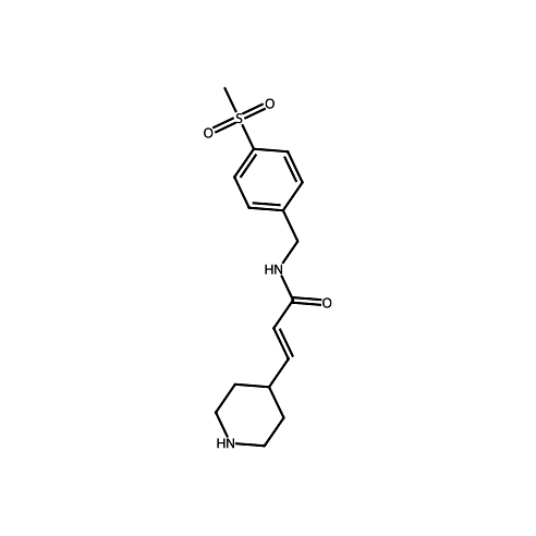 CS(=O)(=O)c1ccc(CNC(=O)/C=C/C2CCNCC2)cc1